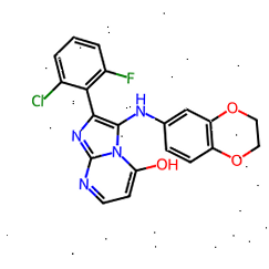 Oc1ccnc2nc(-c3c(F)cccc3Cl)c(Nc3ccc4c(c3)OCCO4)n12